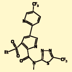 CCS(=O)(=O)c1cc(-c2ccc(C(F)(F)F)cn2)cnc1C(=O)N(C)c1nnc(C(F)(F)F)s1